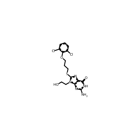 Nc1nc2c(nc(SCCCOc3c(Cl)cccc3Cl)n2CCO)c(=O)[nH]1